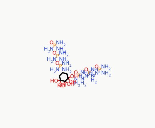 NP(N)(N)=O.NP(N)(N)=O.NP(N)(N)=O.NP(N)(N)=O.NP(N)(N)=O.NP(N)(N)=O.OC1(O)CCCC(O)(O)C1(O)O